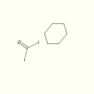 C1CCCCC1.O=C(I)I